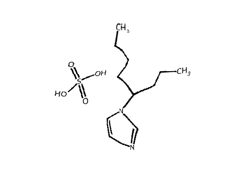 CCCCC(CCC)n1ccnc1.O=S(=O)(O)O